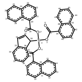 O=C([O][Ti]([O]C(=O)c1cccc2ccccc12)([O]C(=O)c1cccc2ccccc12)[CH]1C=Cc2ccccc21)c1cccc2ccccc12